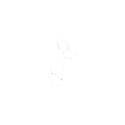 O=C1CCCC(=O)N1CCc1c[nH]c2ccc(I)cc12